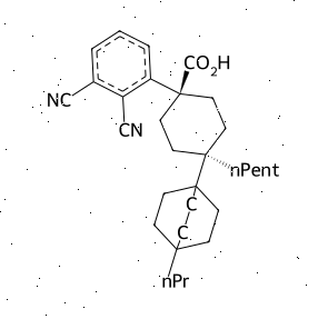 CCCCC[C@]1(C23CCC(CCC)(CC2)CC3)CC[C@](C(=O)O)(c2cccc(C#N)c2C#N)CC1